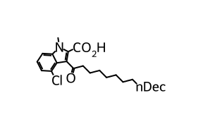 CCCCCCCCCCCCCCCCCC(=O)c1c(C(=O)O)n(C)c2cccc(Cl)c12